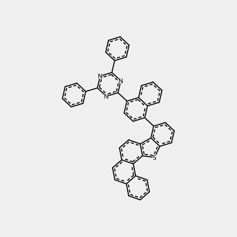 c1ccc(-c2nc(-c3ccccc3)nc(-c3ccc(-c4cccc5sc6c(ccc7ccc8ccccc8c76)c45)c4ccccc34)n2)cc1